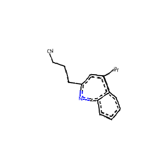 CC(C)c1cc(CCCC#N)nc2ccccc12